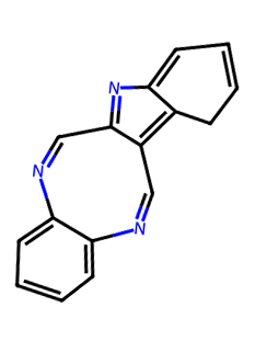 C1=CCC2=C3C=Nc4ccccc4N=CC3=NC2=C1